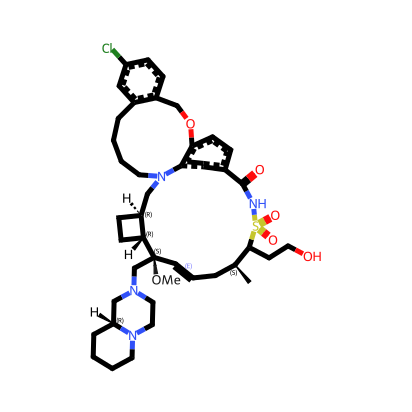 CO[C@]1(CN2CCN3CCCC[C@@H]3C2)/C=C/C[C@H](C)C(CCO)S(=O)(=O)NC(=O)c2ccc3c(c2)N(CCCCc2cc(Cl)ccc2CO3)C[C@@H]2CC[C@H]21